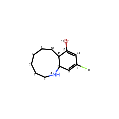 FC1=CC2NCCCCCCC2C(Br)=C1